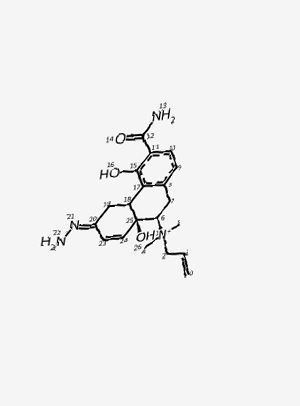 C=CC[N+](C)(C)[C@@H]1Cc2ccc(C(N)=O)c(O)c2C2C/C(=N/N)C=C[C@]21O